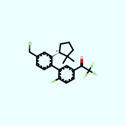 CC1(C)CCC[C@H]1c1cc(CCl)ccc1-c1cc(C(=O)C(F)(F)F)ccc1F